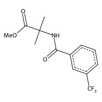 COC(=O)C(C)(C)NC(=O)c1cccc(C(F)(F)F)c1